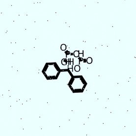 O=[PH](O)O[PH](=O)O.c1ccc(Cc2ccccc2)cc1